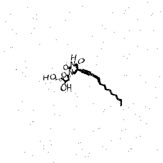 CCCCCCCCCCC#Cc1cn([C@@H]2CC(O)[C@H](CO)O2)c(=O)[nH]c1=O